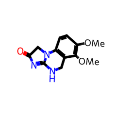 COc1ccc2c(c1OC)CNC1=NC(=O)CN12